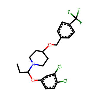 CCC(Oc1ccc(Cl)c(Cl)c1)N1CCC(OCc2ccc(C(F)(F)F)cc2)CC1